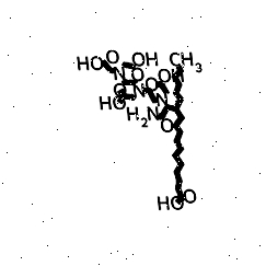 CCCCCCC(CCCCCCCCCCC(=O)O)C(C(N)=O)N(CCN(CCN(CC(=O)O)CC(=O)O)CC(=O)O)CC(=O)O